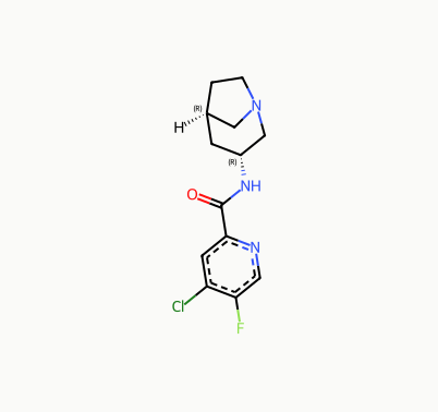 O=C(N[C@@H]1C[C@H]2CCN(C2)C1)c1cc(Cl)c(F)cn1